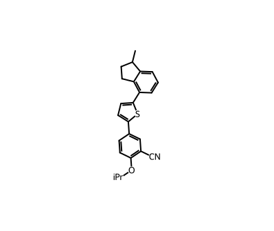 CC(C)Oc1ccc(-c2ccc(-c3cccc4c3CCC4C)s2)cc1C#N